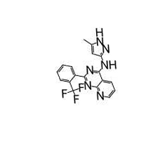 Cc1cc(Nc2nc(-c3ccccc3C(F)(F)F)nc3ncccc23)n[nH]1